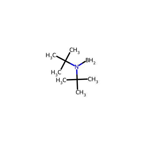 BN(C(C)(C)C)C(C)(C)C